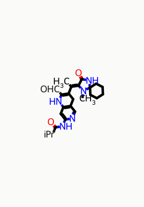 C/C(C1=C(C=O)Nc2cc(NC(=O)C(C)C)ncc2C1)=C1\C(=O)NC2(CCCCC2)N1C